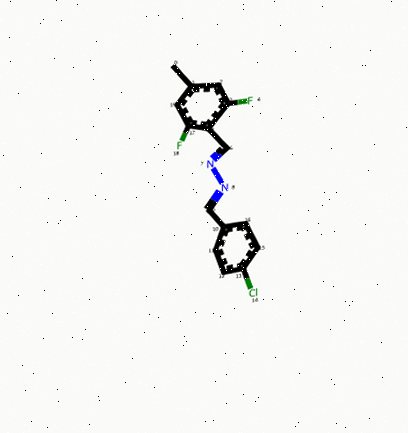 Cc1cc(F)c(C=NN=Cc2ccc(Cl)cc2)c(F)c1